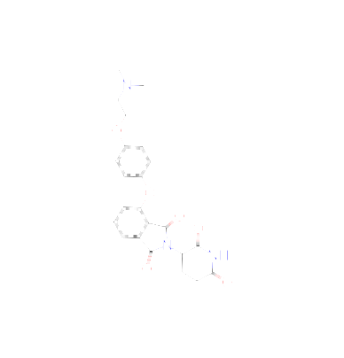 CN(C)CCOc1ccc(Oc2cccc3c2C(=O)N(C2CCC(=O)NC2=O)C3=O)cc1